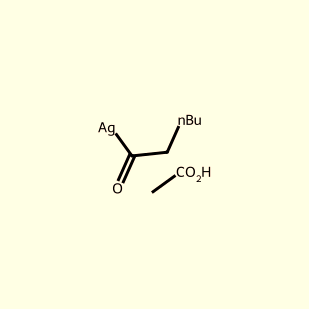 CC(=O)O.CCCCC[C](=O)[Ag]